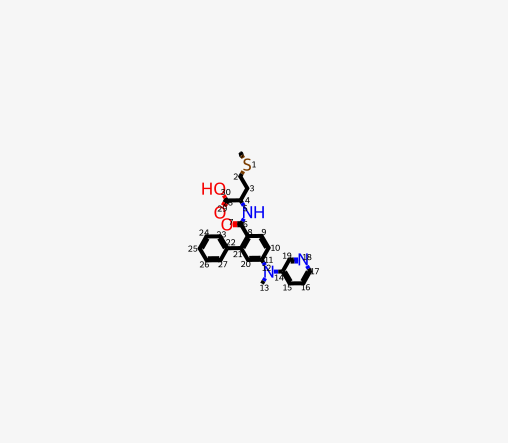 CSCCC(NC(=O)c1ccc(N(C)c2cccnc2)cc1-c1ccccc1)C(=O)O